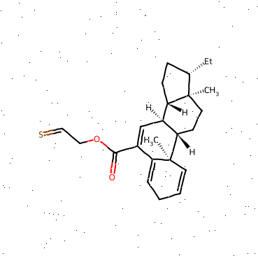 CC[C@H]1CC[C@H]2[C@@H]3C=C(C(=O)OCC=S)C4=CCC=C[C@]4(C)[C@H]3CC[C@]12C